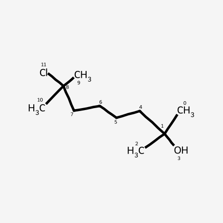 CC(C)(O)CCCCC(C)(C)Cl